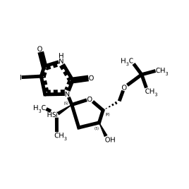 C[SiH](C)[C@]1(n2cc(I)c(=O)[nH]c2=O)C[C@H](O)[C@@H](COC(C)(C)C)O1